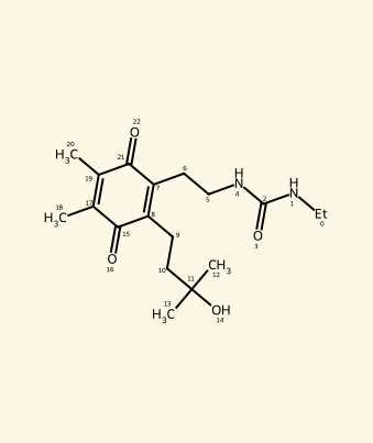 CCNC(=O)NCCC1=C(CCC(C)(C)O)C(=O)C(C)=C(C)C1=O